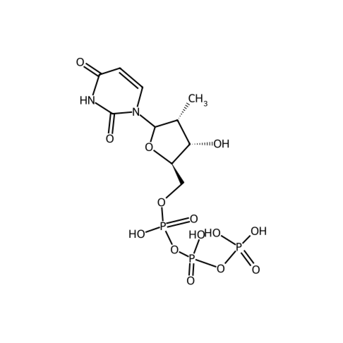 C[C@H]1C(n2ccc(=O)[nH]c2=O)O[C@H](COP(=O)(O)OP(=O)(O)OP(=O)(O)O)[C@H]1O